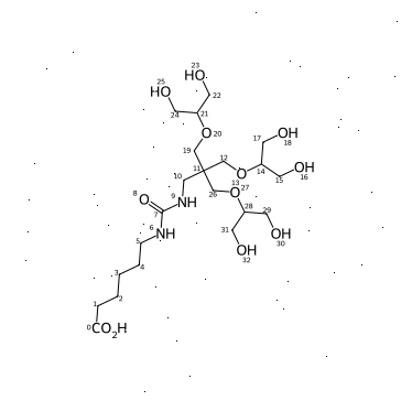 O=C(O)CCCCCNC(=O)NCC(COC(CO)CO)(COC(CO)CO)COC(CO)CO